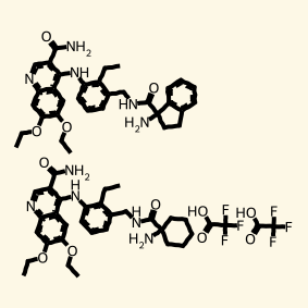 CCOc1cc2ncc(C(N)=O)c(Nc3cccc(CNC(=O)C4(N)CCCCC4)c3CC)c2cc1OCC.CCOc1cc2ncc(C(N)=O)c(Nc3cccc(CNC(=O)C4(N)CCc5ccccc54)c3CC)c2cc1OCC.O=C(O)C(F)(F)F.O=C(O)C(F)(F)F